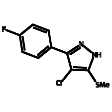 CSc1[nH]nc(-c2ccc(F)cc2)c1Cl